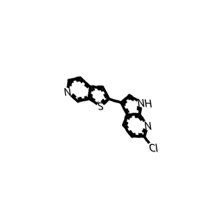 Clc1ccc2c(-c3cc4ccncc4s3)c[nH]c2n1